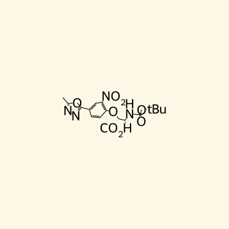 Cc1nnc(-c2ccc(OC[C@H](NC(=O)OC(C)(C)C)C(=O)O)c([N+](=O)[O-])c2)o1